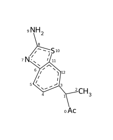 CC(=O)C(C)c1ccc2nc(N)sc2c1